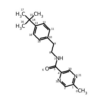 Cc1cnc(C(=O)NCCc2ccc(C(C)(C)C)cc2)cn1